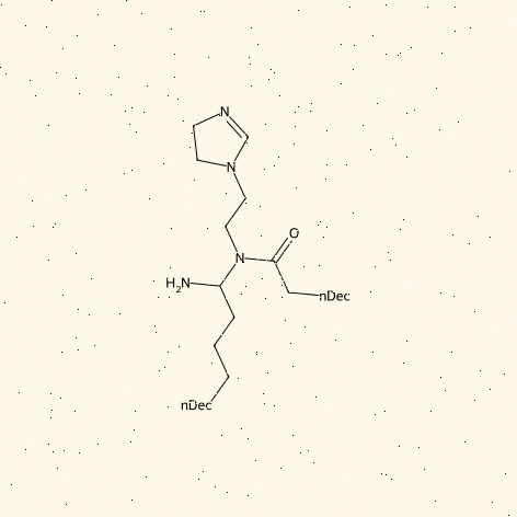 CCCCCCCCCCCCCC(N)N(CCN1C=NCC1)C(=O)CCCCCCCCCCC